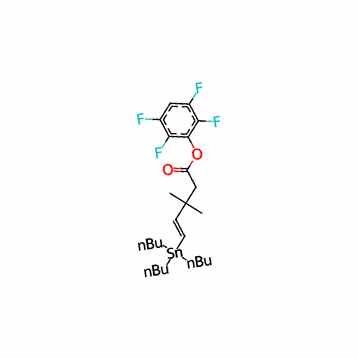 CCC[CH2][Sn](/[CH]=C/C(C)(C)CC(=O)Oc1c(F)c(F)cc(F)c1F)([CH2]CCC)[CH2]CCC